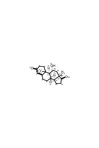 CC12CCC(=O)C=C1CC[C@@H]1[C@@H]2[C@H](O)C[C@]2(C)C(=O)CC[C@@H]12